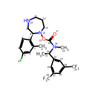 Cc1cc(F)ccc1[C@H]1CNCCCN1OC(=O)N(C)[C@H](C)c1cc(C(F)(F)F)cc(C(F)(F)F)c1